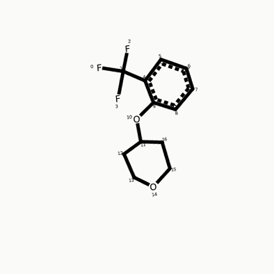 FC(F)(F)c1c[c]ccc1OC1CCOCC1